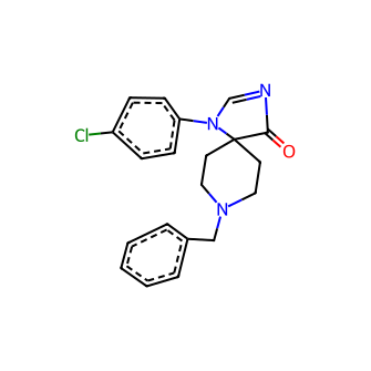 O=C1N=CN(c2ccc(Cl)cc2)C12CCN(Cc1ccccc1)CC2